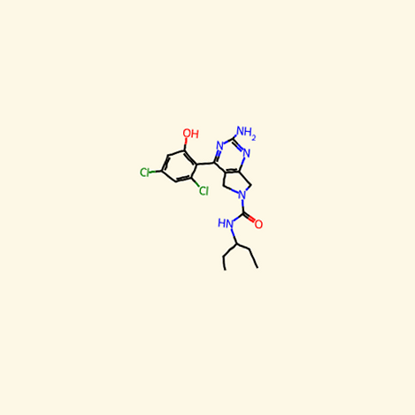 CCC(CC)NC(=O)N1Cc2nc(N)nc(-c3c(O)cc(Cl)cc3Cl)c2C1